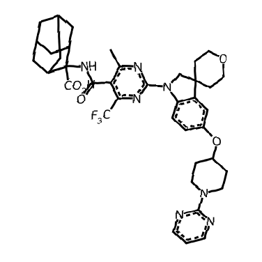 Cc1nc(N2CC3(CCOCC3)c3cc(OC4CCN(c5ncccn5)CC4)ccc32)nc(C(F)(F)F)c1C(=O)NC1(C(=O)O)C2CC3CC(C2)CC1C3